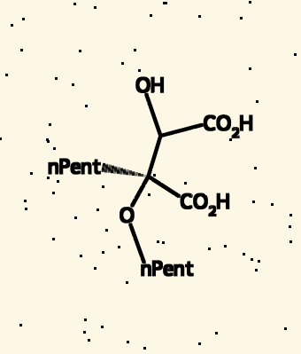 CCCCCO[C@](CCCCC)(C(=O)O)C(O)C(=O)O